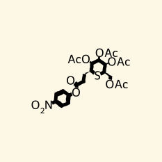 CC(=O)OC[C@H]1S[C@H](CCC(=O)Oc2ccc([N+](=O)[O-])cc2)[C@@H](OC(C)=O)[C@@H](OC(C)=O)[C@@H]1OC(C)=O